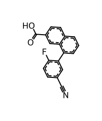 N#Cc1ccc(F)c(-c2cccc3ccc(C(=O)O)cc23)c1